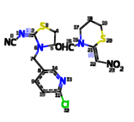 N#C/N=C1/SCCN1Cc1ccc(Cl)nc1.O=CN1CCCS/C1=C\[N+](=O)[O-]